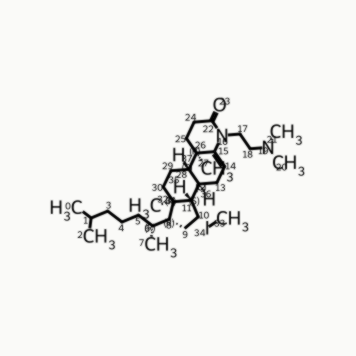 CC(C)CCC[C@@H](C)[C@H]1CC[C@H]2[C@@H]3CC=C4N(CCN(C)C)C(=O)CC[C@]4(C)[C@H]3CC[C@]12C.CI